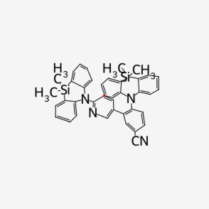 C[Si]1(C)c2ccccc2N(c2ccc(-c3cc(C#N)ccc3N3c4ccccc4[Si](C)(C)c4ccccc43)cn2)c2ccccc21